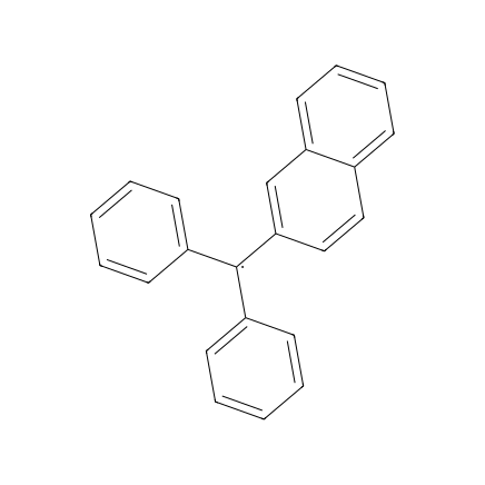 c1ccc([C](c2ccccc2)c2ccc3ccccc3c2)cc1